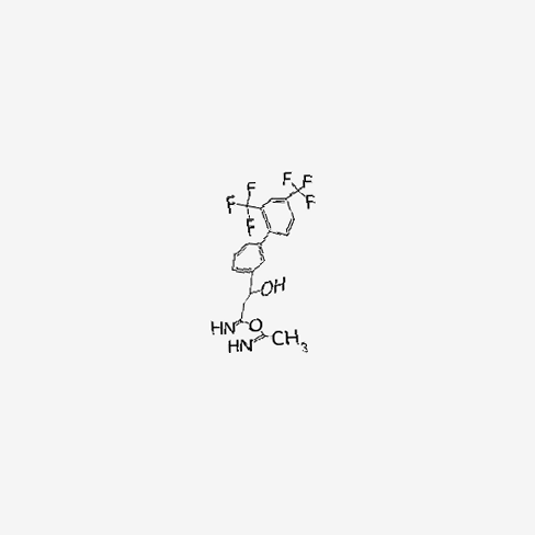 CC(=N)OC(=N)CC(O)c1cccc(-c2ccc(C(F)(F)F)cc2C(F)(F)F)c1